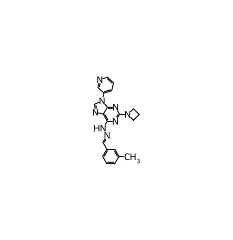 Cc1cccc(/C=N/Nc2nc(N3CCC3)nc3c2ncn3-c2cccnc2)c1